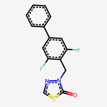 O=c1scnn1Cc1c(F)cc(-c2ccccc2)cc1F